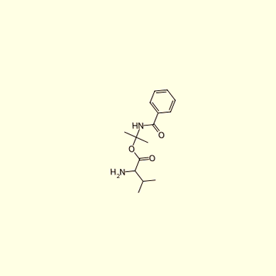 CC(C)C(N)C(=O)OC(C)(C)NC(=O)c1ccccc1